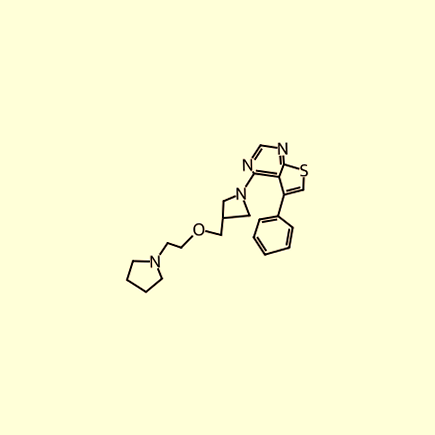 c1ccc(-c2csc3ncnc(N4CC(COCCN5CCCC5)C4)c23)cc1